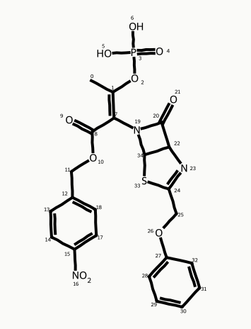 CC(OP(=O)(O)O)=C(C(=O)OCc1ccc([N+](=O)[O-])cc1)N1C(=O)C2N=C(COc3ccccc3)SC21